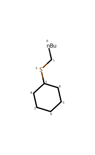 CCCCCSC1[CH]CC[CH]C1